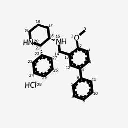 COc1ccc(-c2ccccc2)cc1CN[C@H]1CCCN[C@H]1c1ccccc1.Cl